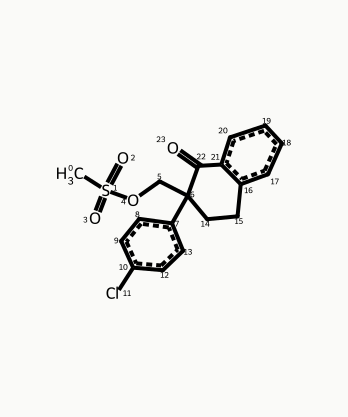 CS(=O)(=O)OCC1(c2ccc(Cl)cc2)CCc2ccccc2C1=O